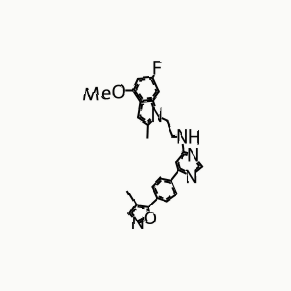 COc1cc(F)cc2c1cc(C)n2CCNc1cc(-c2ccc(-c3oncc3C)cc2)ncn1